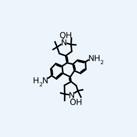 CC1(C)CC(=c2c3ccc(N)cc3c(=C3CC(C)(C)N(O)C(C)(C)C3)c3ccc(N)cc23)CC(C)(C)N1O